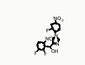 O=[N+]([O-])c1ccc(-n2cnc(C(O)c3c([N+](=O)[O-])ccc(F)c3F)c2)c(F)c1